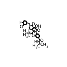 CC(C)NC(=O)c1ccc(-n2c(C(=O)N(C)C)c3c(c(O)c2=O)C(=O)N(Cc2ccc(F)c(Cl)c2)CC3)cc1